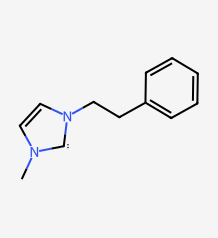 CN1[C]N(CCc2ccccc2)C=C1